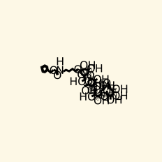 O=C(NCCCCCO[C@@H]1OC(CO)[C@@H](O[C@@H]2OC(CO)[C@@H](O[C@@H]3OC(CO)[C@@H](O[C@@H]4OC(CO)[C@@H](O)[C@H](O)C4O)[C@H](O)C3O)[C@H](O)C2O)[C@H](O)C1O)OCc1ccccc1